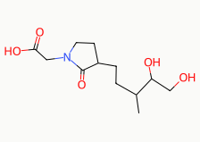 CC(CCC1CCN(CC(=O)O)C1=O)C(O)CO